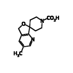 Cc1cnc2c(c1)COC21CCN(C(=O)O)CC1